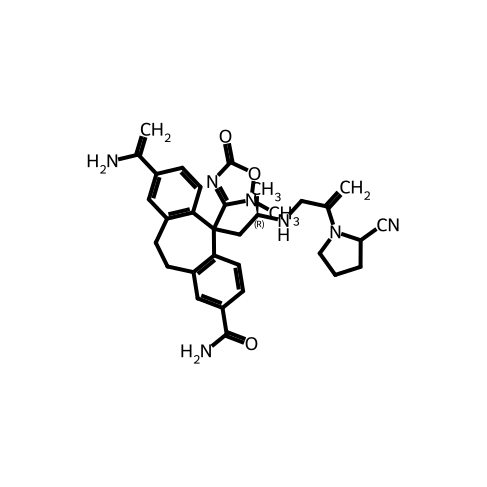 C=C(N)c1ccc2c(c1)CCc1cc(C(N)=O)ccc1C2(C[C@@H](C)NCC(=C)N1CCCC1C#N)c1nc(=O)on1C